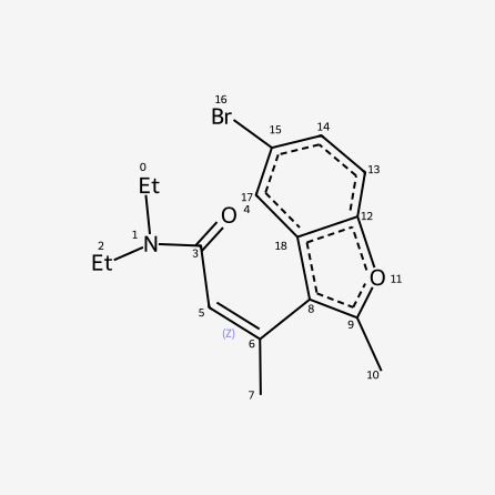 CCN(CC)C(=O)/C=C(/C)c1c(C)oc2ccc(Br)cc12